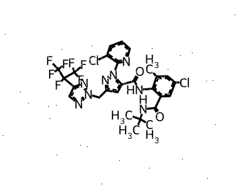 Cc1cc(Cl)cc(C(=O)NC(C)(C)C)c1NC(=O)c1cc(Cn2ncc(C(F)(C(F)(F)F)C(F)(F)F)n2)nn1-c1ncccc1Cl